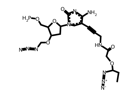 CCC(N=[N+]=[N-])OCC(=O)NCC#Cc1cn(C2CC(OCN=[N+]=[N-])C(COP)O2)c(=O)nc1N